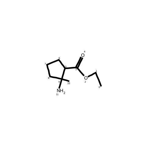 CCOC(=O)C1CCCC1(C)N